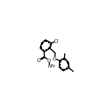 CCCOC(=O)c1cccc(Cl)c1COc1ccc(C)cc1C